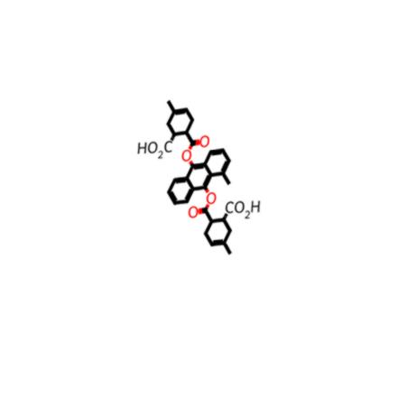 CC1=CCC(C(=O)Oc2c3ccccc3c(OC(=O)C3CC=C(C)CC3C(=O)O)c3c(C)cccc23)C(C(=O)O)C1